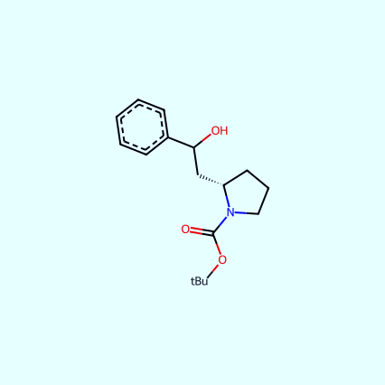 CC(C)(C)OC(=O)N1CCC[C@H]1CC(O)c1ccccc1